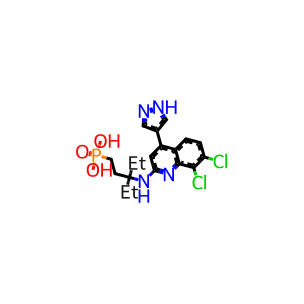 CCC(CC)(CCP(=O)(O)O)Nc1cc(-c2cn[nH]c2)c2ccc(Cl)c(Cl)c2n1